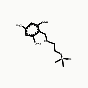 COc1cc(OC)c(CNCCO[Si](C)(C)C(C)(C)C)c(OC)c1